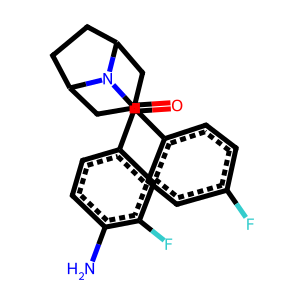 Nc1ccc(C(=O)N2C3CCC2CC(c2ccc(F)cc2)C3)cc1F